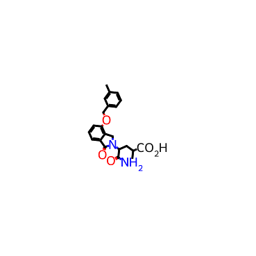 Cc1cccc(COc2cccc3c2CN(C(CC(C)C(=O)O)C(N)=O)C3=O)c1